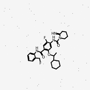 CC(Oc1cc(NC(=O)N2CCCCC2=N)c(F)cc1C(=O)Nc1ccccc1CF)C1CCCCC1